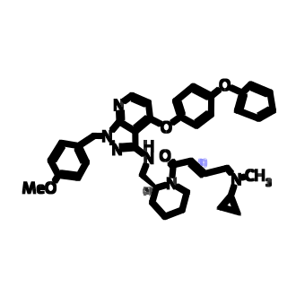 COc1ccc(Cn2nc(NC[C@@H]3CCCCN3C(=O)/C=C/CN(C)C3CC3)c3c(Oc4ccc(Oc5ccccc5)cc4)ccnc32)cc1